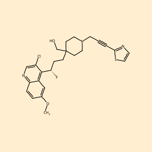 COc1ccc2ncc(Cl)c([C@@H](F)CCC3(CO)CCN(CC#Cc4nccs4)CC3)c2c1